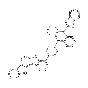 c1ccc2oc(-c3c4ccccc4c(-c4ccc(-c5cccc6c5oc5ccc7c8ccccc8oc7c56)cc4)c4ccccc34)cc2c1